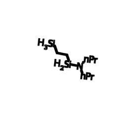 CCCN(CCC)[SiH2]CC[SiH3]